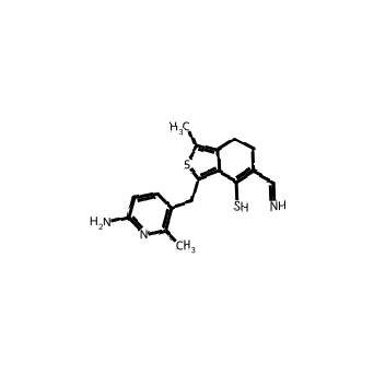 Cc1nc(N)ccc1Cc1sc(C)c2c1C(S)=C(C=N)CC2